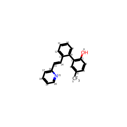 Oc1ccc(C(F)(F)F)cc1-c1ccccc1C=Cc1ccccn1